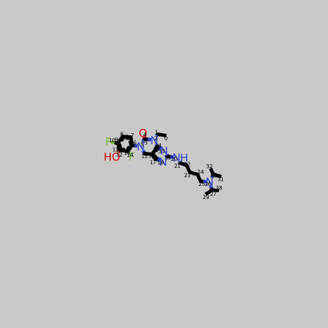 CCN1C(=O)N(c2ccc(F)c(O)c2F)Cc2cnc(NCCCCCN(C(C)C)C(C)C)nc21